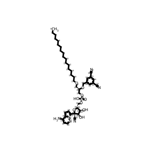 CCCCCCCCCCCCCCCCCCOC[C@H](COP(=O)(O)OC[C@H]1O[C@@](C#N)(c2ccc3c(N)ccnn23)[C@H](O)[C@@H]1O)OCc1cc(C#N)cc(C#N)c1